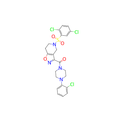 O=C(c1noc2c1CN(S(=O)(=O)c1cc(Cl)ccc1Cl)CC2)N1CCN(c2ccccc2Cl)CC1